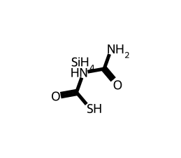 NC(=O)NC(=O)S.[SiH4]